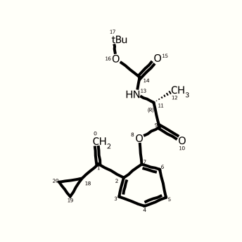 C=C(c1ccccc1OC(=O)[C@@H](C)NC(=O)OC(C)(C)C)C1CC1